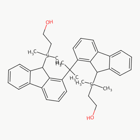 CC(C)(c1cccc2c1C([Si](C)(C)CCO)c1ccccc1-2)c1cccc2c1C([Si](C)(C)CCO)c1ccccc1-2